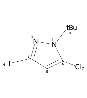 CC(C)(C)n1nc(I)cc1Cl